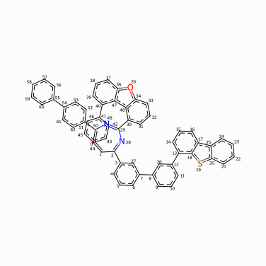 C1=CC(c2cccc(-c3cccc(-c4cccc5c4sc4ccccc45)c3)c2)=NC(c2cccc3oc4cccc(-c5ccccc5)c4c23)=NC=1c1ccc(-c2ccccc2)cc1